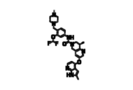 Cc1cc2c(Oc3cnc4c(c3)CN(C(=O)Nc3ccc(CN5CCN(C)CC5)c(OC(F)F)c3)C[C@H]4C)ccnc2[nH]1